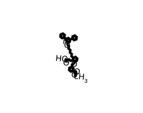 COC(=O)c1cccc(COc2cccc(CCCCCCOc3cc(-c4ccccc4)cc(-c4ccccc4)n3)c2CCC(=O)O)c1